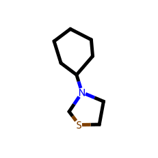 C1CCC(N2CCSC2)CC1